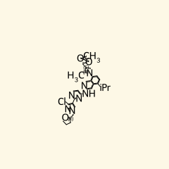 CC(C)c1ccc(N2C[C@H](CS(C)(=O)=O)[C@H]2C)c2cnc(Nc3ccnc(-c4cn(C[C@H]5CCCO5)nc4Cl)n3)cc12